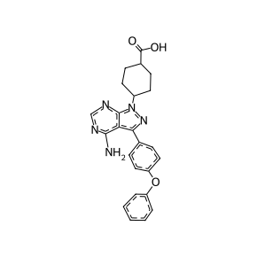 Nc1ncnc2c1c(-c1ccc(Oc3ccccc3)cc1)nn2C1CCC(C(=O)O)CC1